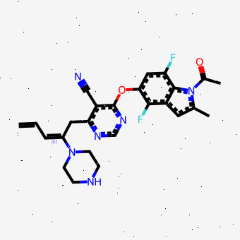 C=C/C=C(\Cc1ncnc(Oc2cc(F)c3c(cc(C)n3C(C)=O)c2F)c1C#N)N1CCNCC1